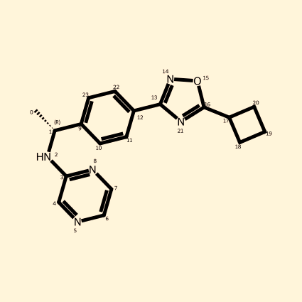 C[C@@H](Nc1cnccn1)c1ccc(-c2noc(C3CCC3)n2)cc1